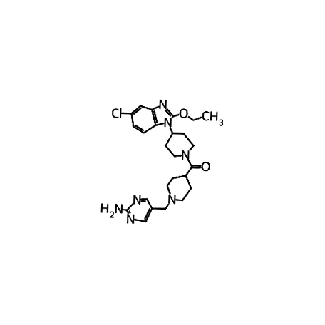 CCOc1nc2cc(Cl)ccc2n1C1CCN(C(=O)C2CCN(Cc3cnc(N)nc3)CC2)CC1